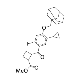 COC(=O)C1CCC1C(=O)c1cc(C2CC2)c(OCC23CC4CC(CC(C4)C2)C3)cc1F